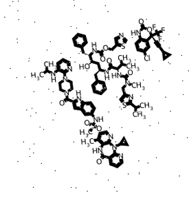 CC(C)Nc1cccnc1N1CCN(C(=O)c2cc3cc(NS(C)(=O)=O)ccc3[nH]2)CC1.CC(C)c1nc(CN(C)C(=O)N[C@H](C(=O)N[C@@H](Cc2ccccc2)C[C@H](O)[C@H](Cc2ccccc2)NC(=O)OCc2cncs2)C(C)C)cs1.Cc1ccnc2c1NC(=O)c1cccnc1N2C1CC1.O=C1Nc2ccc(Cl)cc2[C@@](C#CC2CC2)(C(F)(F)F)O1